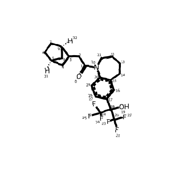 O=C(CC1C[C@H]2CC[C@@H]1C2)N1CCCCc2cc(C(O)(C(F)(F)F)C(F)(F)F)ccc21